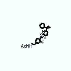 CC(=O)NCCc1ccc(-c2nc3ccc(C4(c5ccccc5)CC4)nc3s2)c(F)c1